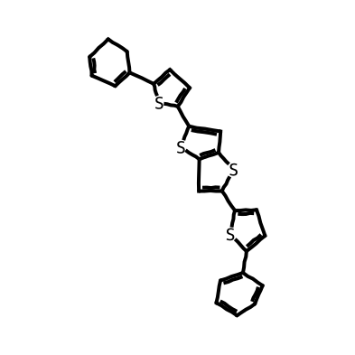 C1=CCCC(c2ccc(-c3cc4sc(-c5ccc(-c6ccccc6)s5)cc4s3)s2)=C1